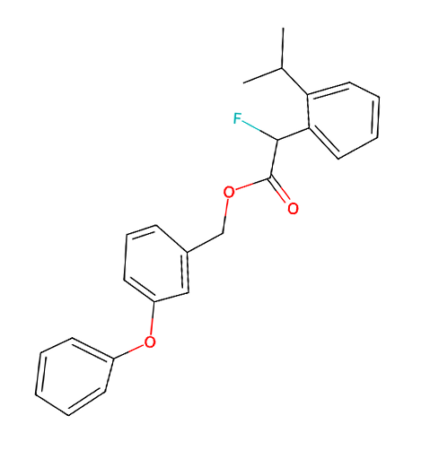 CC(C)c1ccccc1C(F)C(=O)OCc1cccc(Oc2ccccc2)c1